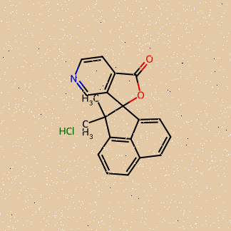 CC1(C)c2cccc3cccc(c23)C12OC(=O)c1ccncc12.Cl